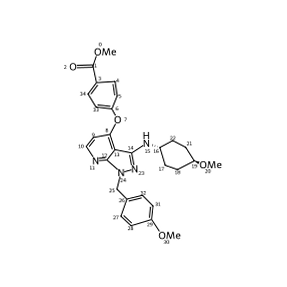 COC(=O)c1ccc(Oc2ccnc3c2c(N[C@H]2CC[C@H](OC)CC2)nn3Cc2ccc(OC)cc2)cc1